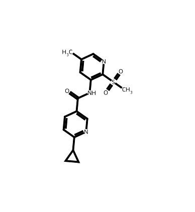 Cc1cnc(S(C)(=O)=O)c(NC(=O)c2ccc(C3CC3)nc2)c1